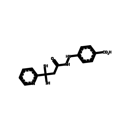 O=C(CC(S)(S)c1ccccn1)NNc1ccc(C(=O)O)cc1